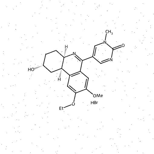 Br.CCOc1cc2c(cc1OC)C(c1cnc(=O)n(C)c1)=N[C@@H]1CC[C@@H](O)C[C@H]21